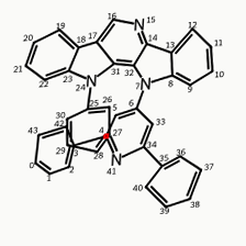 c1ccc(-c2cc(-n3c4ccccc4c4ncc5c6ccccc6n(-c6ccccc6)c5c43)cc(-c3ccccc3)n2)cc1